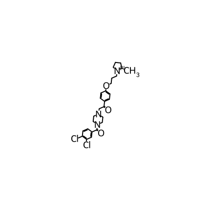 C[C@@H]1CCCN1CCCOc1ccc(C(=O)CN2CCN(C(=O)c3ccc(Cl)c(Cl)c3)CC2)cc1